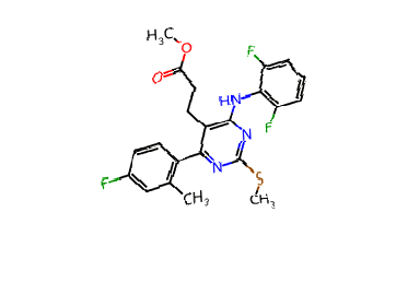 COC(=O)CCc1c(Nc2c(F)cccc2F)nc(SC)nc1-c1ccc(F)cc1C